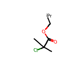 CC(C)COC(=O)C(C)(C)Cl